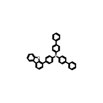 c1ccc(-c2ccc(N(c3ccc(-c4ccccc4)cc3)c3ccc(-c4cccc5c4oc4ccccc45)cc3)cc2)cc1